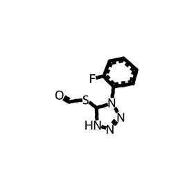 O=CSC1NN=NN1c1ccccc1F